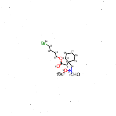 CC(C)(C)ON(C=O)CC1(CC(=O)OCCCCBr)CCCCC1